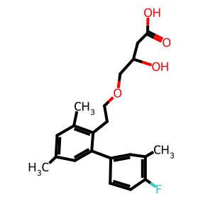 Cc1cc(C)c(CCOCC(O)CC(=O)O)c(-c2ccc(F)c(C)c2)c1